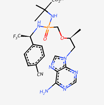 C[C@@H](Cn1cnc2c(N)ncnc21)OCP(=O)(N[C@@H](c1ccc(C#N)cc1)C(F)(F)F)NC(C)(C)C(=O)O